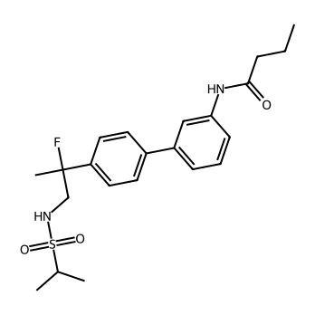 CCCC(=O)Nc1cccc(-c2ccc(C(C)(F)CNS(=O)(=O)C(C)C)cc2)c1